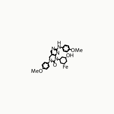 COc1ccc(Nc2ncc3c(n2)N(C2CCCC(O)C2)C(=O)N(c2ccc(OC)cc2)C3)cc1.[Fe]